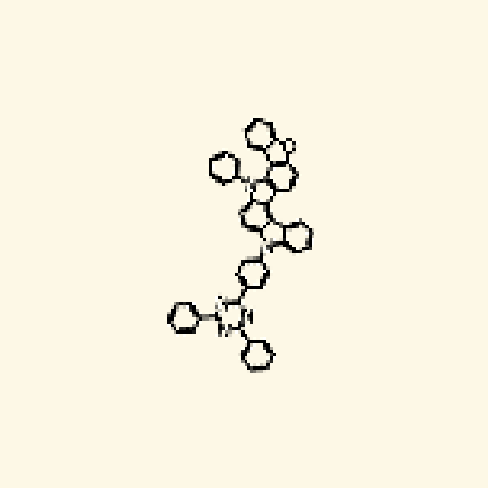 c1ccc(-c2nc(-c3ccccc3)nc(-c3ccc(-n4c5ccccc5c5c6c7ccc8oc9ccccc9c8c7n(-c7ccccc7)c6ccc54)cc3)n2)cc1